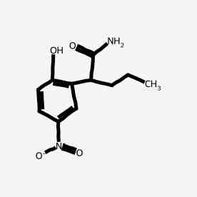 CCCC(C(N)=O)c1cc([N+](=O)[O-])ccc1O